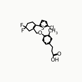 Cc1cc(CCC(=O)O)ccc1OCC1=C(c2ccc(Cl)s2)CCC(F)(F)C1